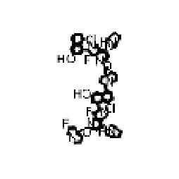 Oc1cc(-c2ncc3c(N4CC5CCC(C4)N5)cc(OCC45CCCN4C(c4ccc(Cl)c6c(-c7ncc8c(N9CC%10CCC(C9)N%10)cc(OCC9%10CCCN9C[C@@H](F)C%10)nc8c7F)cc(O)cc46)CC5)nc3c2F)c2c(Cl)cccc2c1